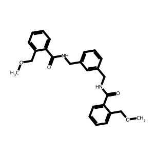 COCc1ccccc1C(=O)NCc1cccc(CNC(=O)c2ccccc2COC)c1